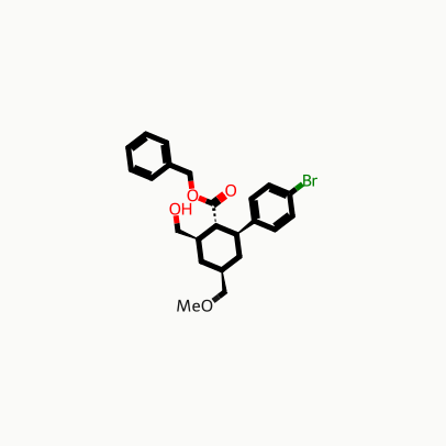 COC[C@H]1C[C@@H](CO)[C@H](C(=O)OCc2ccccc2)[C@@H](c2ccc(Br)cc2)C1